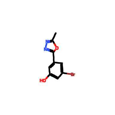 Cc1nnc(-c2cc(O)cc(Br)c2)o1